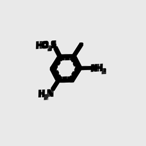 Cc1c(N)cc(N)cc1S(=O)(=O)O